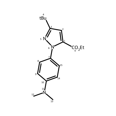 CCOC(=O)c1cc(C(C)(C)C)nn1-c1ccc(N(C)C)cc1